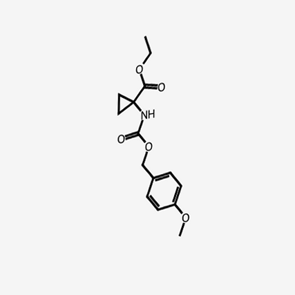 CCOC(=O)C1(NC(=O)OCc2ccc(OC)cc2)CC1